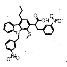 CCCc1cc(C(Cc2cccc([N+](=O)[O-])c2)C(=O)O)c(SC)c2c1c1ccccc1n2Cc1cccc([N+](=O)[O-])c1